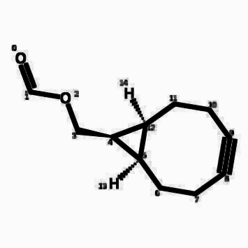 O=[C]OC[C@@H]1[C@@H]2CCC#CCC[C@@H]21